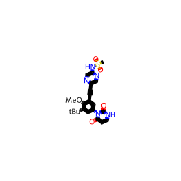 COc1c(C#Cc2cnc(NS(C)(=O)=O)cn2)cc(-n2c(=O)cc[nH]c2=O)cc1C(C)(C)C